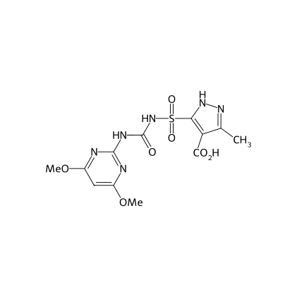 COc1cc(OC)nc(NC(=O)NS(=O)(=O)c2[nH]nc(C)c2C(=O)O)n1